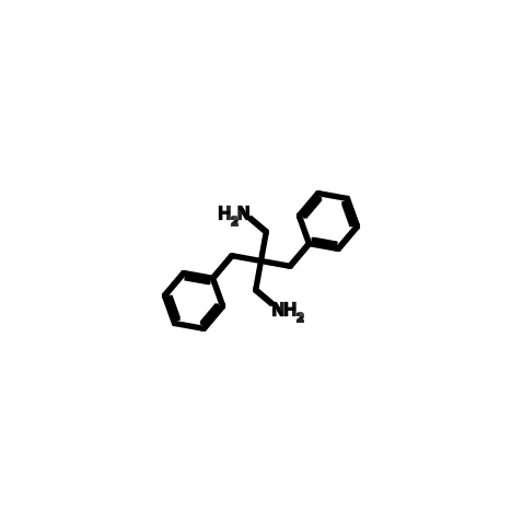 NCC(CN)(Cc1ccccc1)Cc1ccccc1